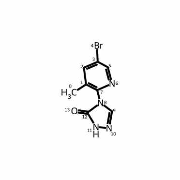 Cc1cc(Br)cnc1-n1cn[nH]c1=O